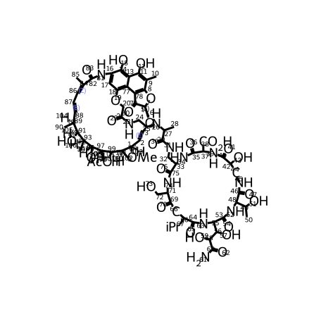 CO[C@H]1/C=C/O[C@@]2(C)Oc3c(C)c(O)c4c(O)c(cc(OCC(=O)NCCNC(C)C(=O)NCC5NC(=O)C(C(=O)O)NC(=O)C(O)CNC(=O)C(C(C)O)NC(=O)C(C(O)C(O)C(N)=O)NC(=O)C(C(C)C)CC(=O)C(CO)NC5=O)c4c3C2=O)NC(=O)/C(C)=C\C=C\[C@H](C)[C@H](O)[C@@H](C)[C@@H](O)[C@@H](C)[C@H](OC(C)=O)[C@@H]1C